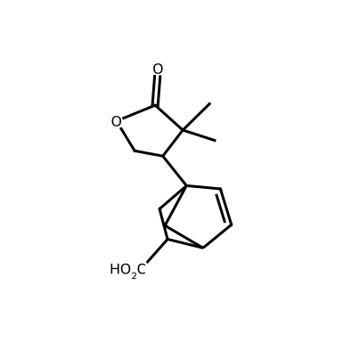 CC1(C)C(=O)OCC1C12C=CC(C1)C(C(=O)O)C2